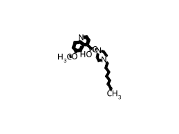 CCCCCCCCN1CCN(C[C@H](O)c2ccnc3ccc(OC)cc23)CC1